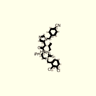 C=CCNC(=S)N(Cc1cccc(Cl)c1Cl)C[C@@H](NC(=O)Cc1cncn1Cc1ccc(C#N)cc1)C(C)C